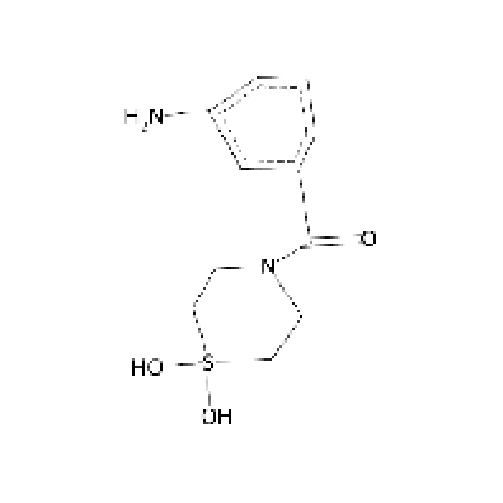 Nc1cccc(C(=O)N2CCS(O)(O)CC2)c1